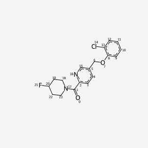 O=C(c1ccc(COc2ccccc2Cl)cn1)N1CCC(F)CC1